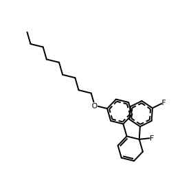 CCCCCCCCCOc1cccc(C2=CC=CCC2(F)c2cccc(F)c2)c1